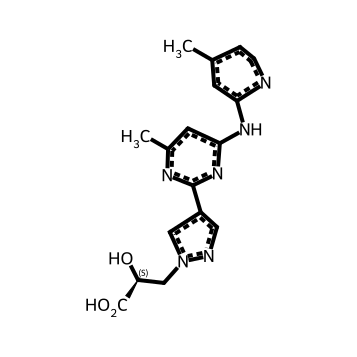 Cc1ccnc(Nc2cc(C)nc(-c3cnn(C[C@H](O)C(=O)O)c3)n2)c1